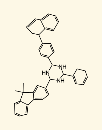 CC1(C)c2ccccc2-c2ccc(C3NC(C4=CC=CCC4)NC(c4ccc(C5CC=Cc6ccccc65)cc4)N3)cc21